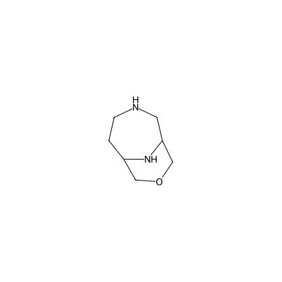 C1CC2COCC(CN1)N2